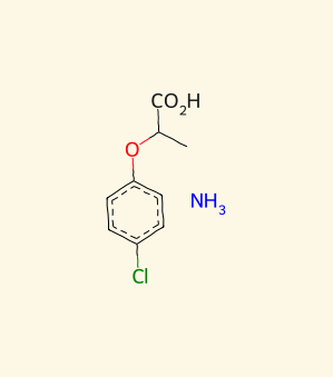 CC(Oc1ccc(Cl)cc1)C(=O)O.N